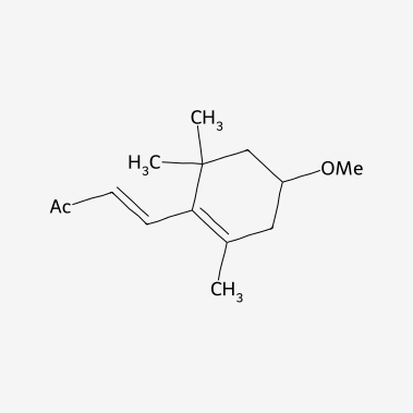 COC1CC(C)=C(C=CC(C)=O)C(C)(C)C1